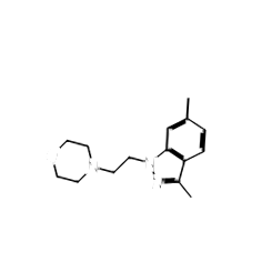 Cc1ccc2c(C)nn(CCN3CCOCC3)c2c1